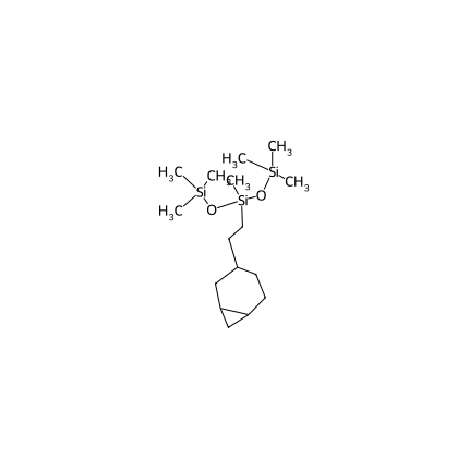 C[Si](C)(C)O[Si](C)(CCC1CCC2CC2C1)O[Si](C)(C)C